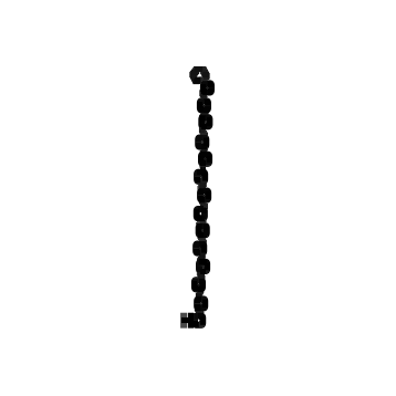 OCCOCCOCCOCCOCCOCCOCCOCCOCCOCCOCCOCCOCCOc1ccccc1